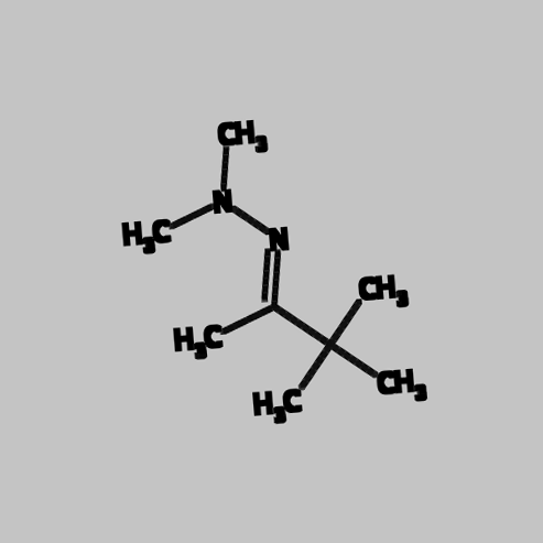 C/C(=N\N(C)C)C(C)(C)C